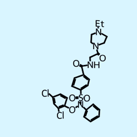 CCN1CCN(C(=O)CNC(=O)c2ccc(S(=O)(=O)N(Oc3ccc(Cl)cc3Cl)c3ccccc3)cc2)CC1